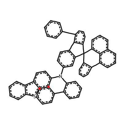 c1ccc(-c2ccccc2N(c2ccc3c(c2)C2(c4ccccc4-c4cccc5cccc2c45)c2cccc(-c4ccccc4)c2-3)c2ccc3c(c2)sc2ccccc23)cc1